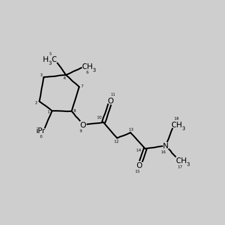 CC(C)C1CCC(C)(C)CC1OC(=O)CCC(=O)N(C)C